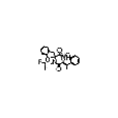 CC(=C1NC(=O)C(C)(Cc2ccccc2OC(F)F)N(C)C1=O)c1ccccc1C#N